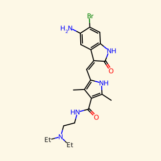 CCN(CC)CCNC(=O)c1c(C)[nH]c(/C=C2\C(=O)Nc3cc(Br)c(N)cc32)c1C